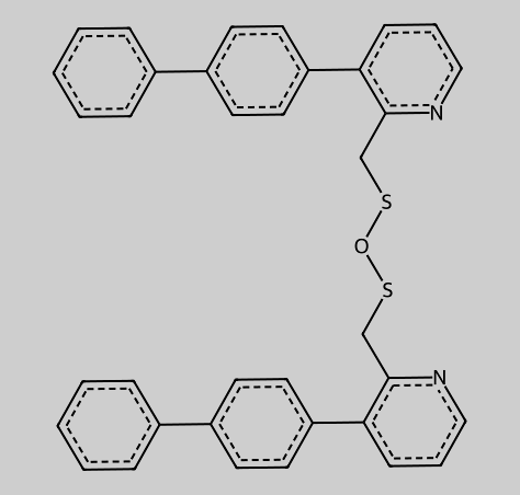 c1ccc(-c2ccc(-c3cccnc3CSOSCc3ncccc3-c3ccc(-c4ccccc4)cc3)cc2)cc1